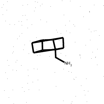 NCC12C3C4C5C3C1C5C42